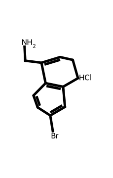 Cl.NCC1=CCCc2cc(Br)ccc21